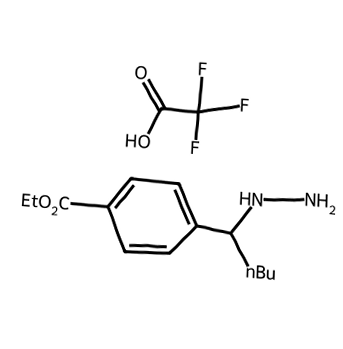 CCCCC(NN)c1ccc(C(=O)OCC)cc1.O=C(O)C(F)(F)F